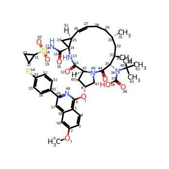 COc1ccc2c(O[C@@H]3C[C@H]4C(=O)N[C@]5(C(=O)NS(=O)(=O)C6CC6)C[C@H]5/C=C\CC[C@H](C)C[C@@H](C)[C@H](N(C(=O)O)C(C)(C)C)C(=O)N4C3)nc(-c3ccc(F)cc3)cc2c1